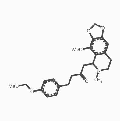 COCOc1ccc(CCC(=O)CC2c3c(cc4c(c3OC)OCO4)CCN2C)cc1